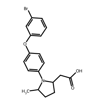 CC1CCC(CC(=O)O)N1c1ccc(Oc2cccc(Br)c2)cc1